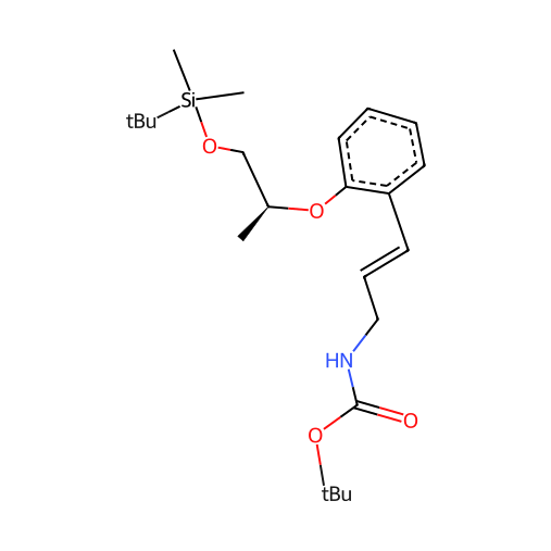 C[C@@H](CO[Si](C)(C)C(C)(C)C)Oc1ccccc1/C=C/CNC(=O)OC(C)(C)C